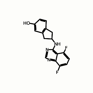 Oc1ccc2c(c1)CC(Nc1ncnc3c(F)ccc(F)c13)C2